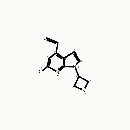 O=Cc1cc(Cl)nc2c1ccn2C1CSC1